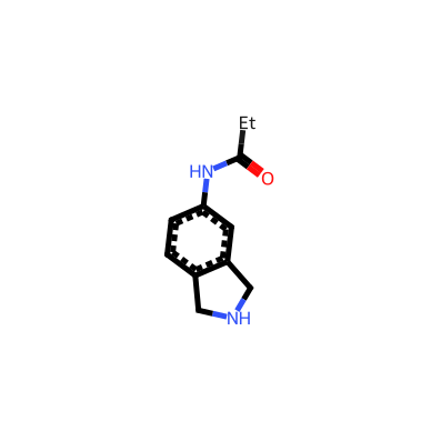 CCC(=O)Nc1ccc2c(c1)CNC2